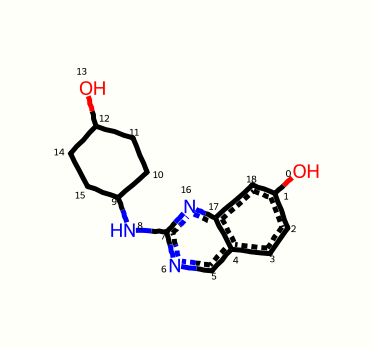 Oc1ccc2cnc(NC3CCC(O)CC3)nc2c1